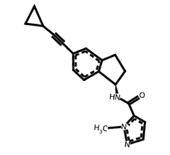 Cn1nccc1C(=O)N[C@@H]1CCc2cc(C#CC3CC3)ccc21